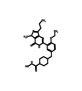 CCCc1nn(C)c2c(=O)[nH]c(-c3cc(CN4CCN(C(=O)NO)CC4)ccc3OCC)nc12